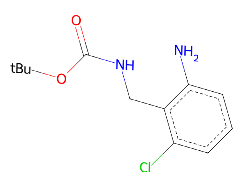 CC(C)(C)OC(=O)NCc1c(N)cccc1Cl